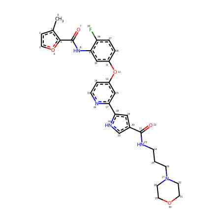 Cc1ccoc1C(=O)Nc1cc(Oc2ccnc(-c3cc(C(=O)NCCCN4CCOCC4)c[nH]3)c2)ccc1F